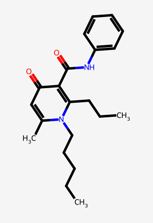 CCCCCn1c(C)cc(=O)c(C(=O)Nc2ccccc2)c1CCC